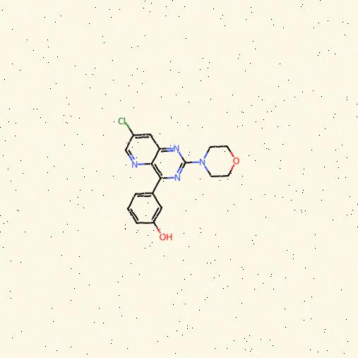 Oc1cccc(-c2nc(N3CCOCC3)nc3cc(Cl)cnc23)c1